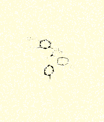 COc1ccc(NC(=O)[C@@H]2[C@@H](c3cccc(C(F)(F)F)c3)[C@H]3O[C@@H]2C[C@@H]3O)cc1C(F)(F)F